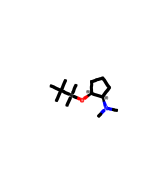 CN(C)[C@@H]1CCC[C@@H]1O[Si](C)(C)C(C)(C)C